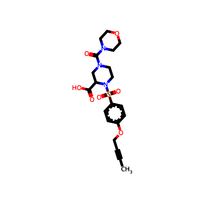 CC#CCOc1ccc(S(=O)(=O)N2CCN(C(=O)N3CCOCC3)CC2C(=O)O)cc1